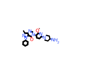 COc1nc(N2CCC(N)CC2)ccc1-n1cnc2c(C)nn(-c3ccccc3)c2c1=O